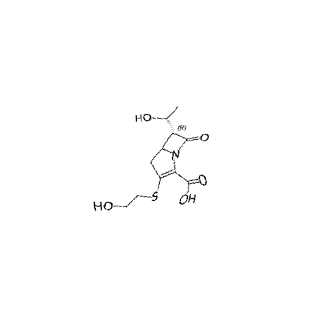 CC(O)[C@@H]1C(=O)N2C(C(=O)O)=C(SCCO)CC12